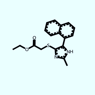 CCOC(=O)CSc1nc(C)[nH]c1-c1cccc2ccccc12